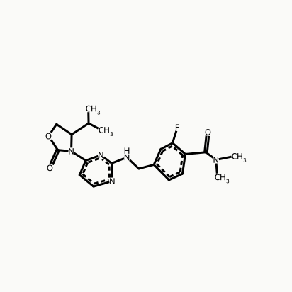 CC(C)C1COC(=O)N1c1ccnc(NCc2ccc(C(=O)N(C)C)c(F)c2)n1